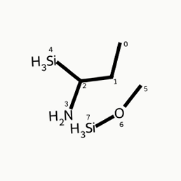 CCC(N)[SiH3].CO[SiH3]